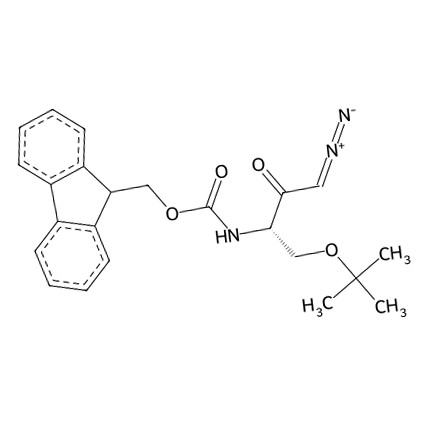 CC(C)(C)OC[C@H](NC(=O)OCC1c2ccccc2-c2ccccc21)C(=O)C=[N+]=[N-]